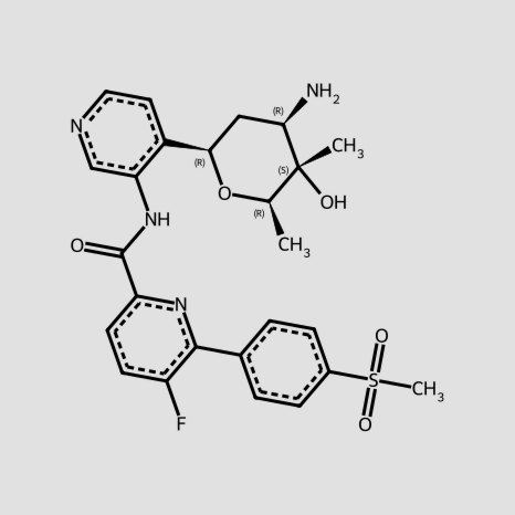 C[C@H]1O[C@@H](c2ccncc2NC(=O)c2ccc(F)c(-c3ccc(S(C)(=O)=O)cc3)n2)C[C@@H](N)[C@]1(C)O